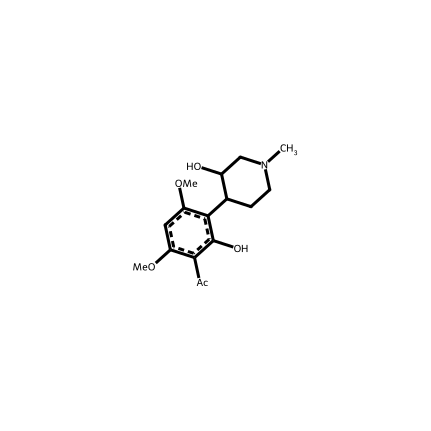 COc1cc(OC)c(C2CCN(C)CC2O)c(O)c1C(C)=O